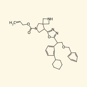 C=CCOC(=O)N1CC(c2nnc(C(COCc3ccccc3)c3cccc(C4CCCCC4)c3)o2)C2(CNC2)C1